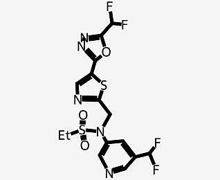 CCS(=O)(=O)N(Cc1ncc(-c2nnc(C(F)F)o2)s1)c1cncc(C(F)F)c1